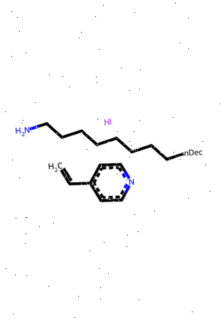 C=Cc1ccncc1.CCCCCCCCCCCCCCCCCCN.I